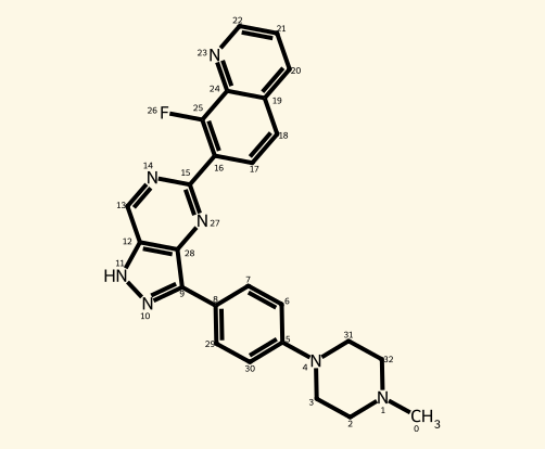 CN1CCN(c2ccc(-c3n[nH]c4cnc(-c5ccc6cccnc6c5F)nc34)cc2)CC1